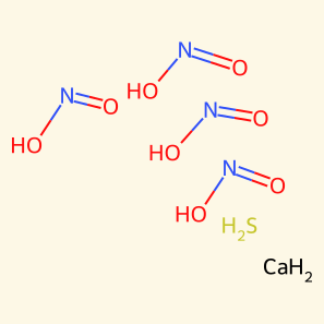 O=NO.O=NO.O=NO.O=NO.S.[CaH2]